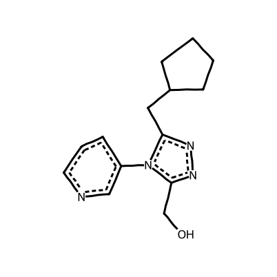 OCc1nnc(CC2CCCC2)n1-c1cccnc1